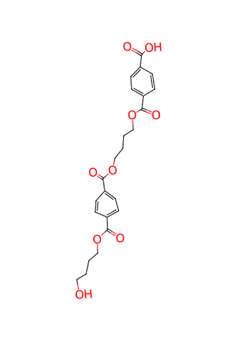 O=C(O)c1ccc(C(=O)OCCCCOC(=O)c2ccc(C(=O)OCCCCO)cc2)cc1